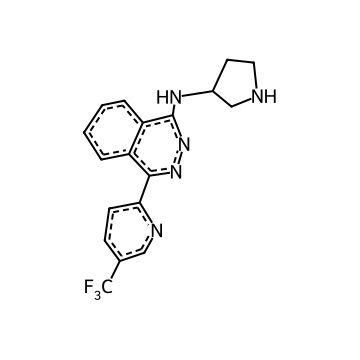 FC(F)(F)c1ccc(-c2nnc(NC3CCNC3)c3ccccc23)nc1